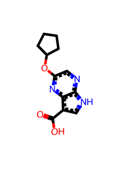 O=C(O)c1c[nH]c2ncc(OC3CCCC3)nc12